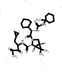 CC(=O)C(=O)C(CC1CC1)NC(=O)[C@@H]1[C@@H]2[C@H](CN1C(=O)[C@@H](NC(=O)NC1(C)CCCCC1)C1CCCCC1)C2(C)C